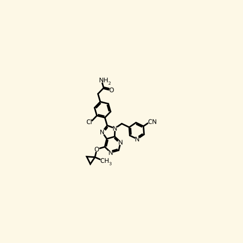 CC1(Oc2ncnc3c2nc(-c2ccc(CC(N)=O)cc2Cl)n3Cc2cncc(C#N)c2)CC1